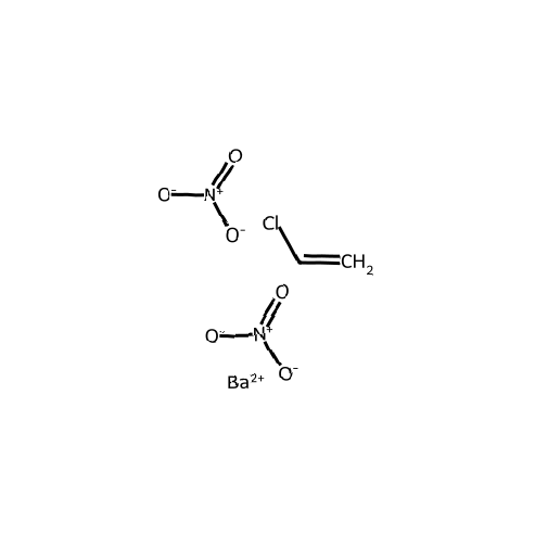 C=CCl.O=[N+]([O-])[O-].O=[N+]([O-])[O-].[Ba+2]